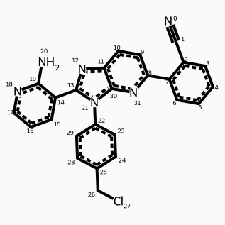 N#Cc1ccccc1-c1ccc2nc(-c3cccnc3N)n(-c3ccc(CCl)cc3)c2n1